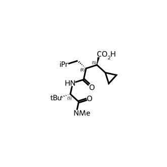 CNC(=O)[C@@H](NC(=O)[C@H](CC(C)C)[C@@H](C(=O)O)C1CC1)C(C)(C)C